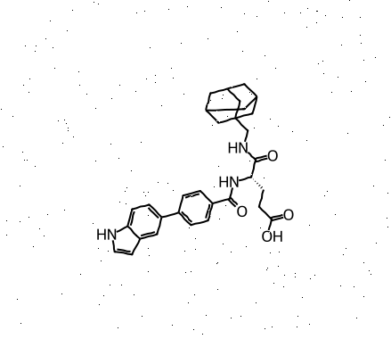 O=C(O)CC[C@H](NC(=O)c1ccc(-c2ccc3[nH]ccc3c2)cc1)C(=O)NCC12CC3CC(CC(C3)C1)C2